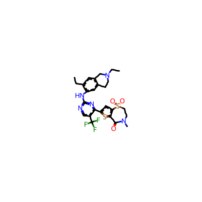 CCc1cc2c(cc1Nc1ncc(C(F)(F)F)c(-c3cc4c(s3)C(=O)N(C)CCS4(=O)=O)n1)CCN(CC)C2